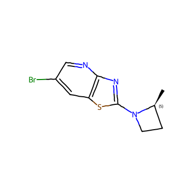 C[C@H]1CCN1c1nc2ncc(Br)cc2s1